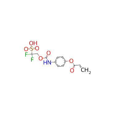 C=CC(=O)Oc1ccc(NC(=O)OCC(F)(F)S(=O)(=O)O)cc1